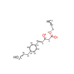 C#CCOC(=O)CC(=O)C=Cc1ccc(CCC(=O)O)cc1